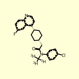 [2H]C([2H])([2H])N(C(=O)C[C@H]1CC[C@@H](c2ccnc3ccc(F)cc32)CC1)c1ccc(Cl)cc1